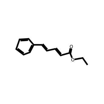 CCOC(=O)C=CC=Cc1ccccc1